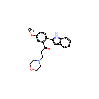 COc1ccc(-c2cc3ccccc3[nH]2)c(C(=O)CCN2CCOCC2)c1